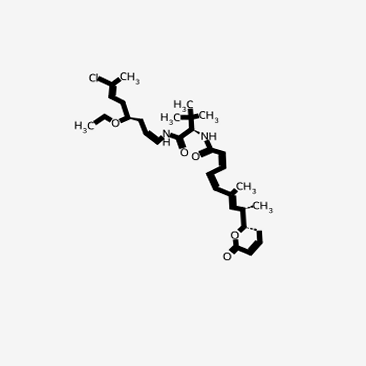 CCO[C@H](C/C=C\NC(=O)[C@@H](NC(=O)\C=C/C=C\C(C)=C\[C@H](C)[C@@H]1CC=CC(=O)O1)C(C)(C)C)C/C=C(\C)Cl